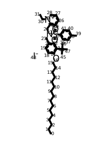 CCCCCCCCCCCCCCCCOc1ccc(CN(Cc2cccc[n+]2CC)S(=O)(=O)c2ccc(C)cc2)cc1C(C)(C)C.[I-]